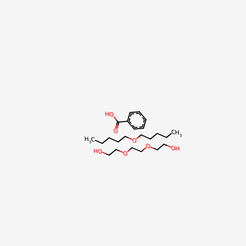 CCCCCOCCCCC.O=C(O)c1ccccc1.OCCOCCOCCO